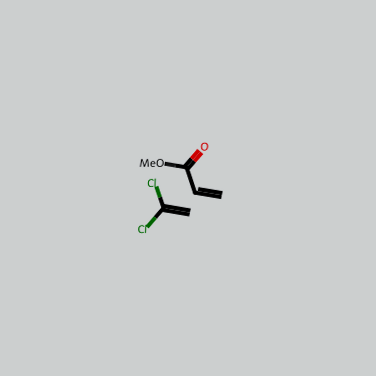 C=C(Cl)Cl.C=CC(=O)OC